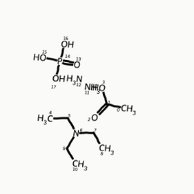 CC(=O)O.CCN(CC)CC.N.N.O=P(O)(O)O